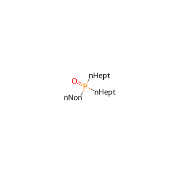 CCCCCCCCCP(=O)(CCCCCCC)CCCCCCC